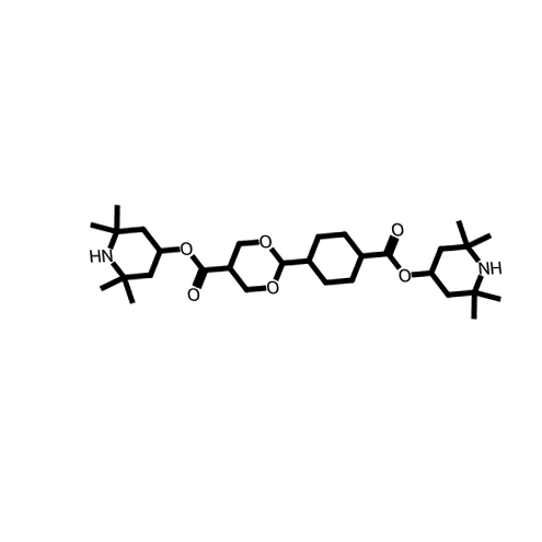 CC1(C)CC(OC(=O)C2CCC(C3OCC(C(=O)OC4CC(C)(C)NC(C)(C)C4)CO3)CC2)CC(C)(C)N1